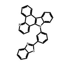 c1cc(-c2nc3ccccc3s2)cc(-n2c3ccccc3c3c4ccccc4c4ncccc4c32)c1